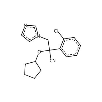 N#CC(Cn1ccnc1)(OC1CCCC1)c1ccccc1Cl